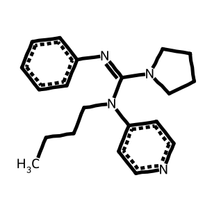 CCCCN(C(=Nc1ccccc1)N1CCCC1)c1ccncc1